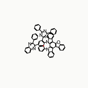 c1ccc(-c2nc(-c3ccccc3)nc(-c3cc(-c4nc5ccccc5nc4-c4ccccc4)ccc3-n3c4ccccc4c4c5oc6ccccc6c5c5c6ccccc6n(-c6ccccc6)c5c43)n2)cc1